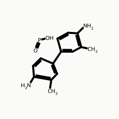 Cc1cc(-c2ccc(N)c(C)c2)ccc1N.O=PO